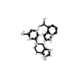 FC(F)c1cccn2nc([C@@H]3c4nc[nH]c4CCN3c3cncc(Cl)n3)cc12